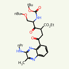 CCCCOCC(NC(=O)OC(C)(C)C)C(=O)C(CC(=O)c1cccc2nc(C)c(NCCC)nc12)C(=O)OCC